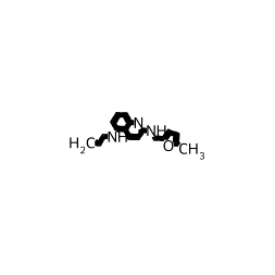 C=CCNc1cccc2nc(NCc3ccc(C)o3)ccc12